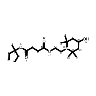 CCC(C)(CC)OC(=O)CCC(=O)OCCN1C(C)(C)CC(O)CC1(C)C